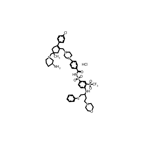 CC1(CN2CCC[C@H](N)C2)CCC(c2ccc(Cl)cc2)=C(CN2CCN(c3ccc(C(=O)NS(=O)(=O)c4ccc(NC(CCN5CCOCC5)CSc5ccccc5)c(S(=O)(=O)C(F)(F)F)c4)cc3)CC2)C1.Cl